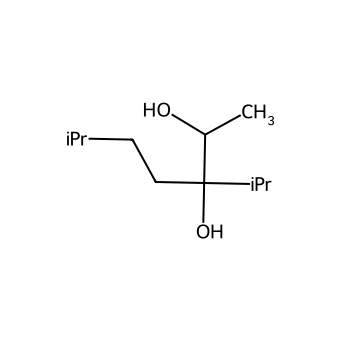 CC(C)CCC(O)(C(C)C)C(C)O